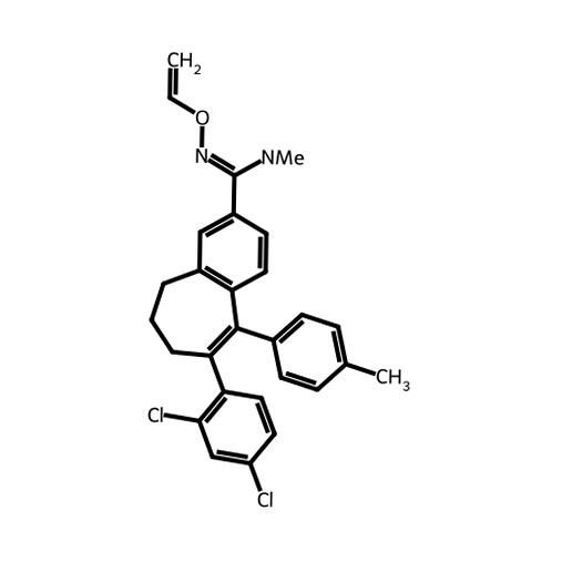 C=CO/N=C(\NC)c1ccc2c(c1)CCCC(c1ccc(Cl)cc1Cl)=C2c1ccc(C)cc1